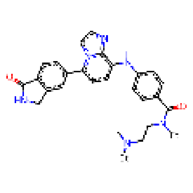 CCN(C)CCN(CC)C(=O)c1ccc(Nc2ccc(-c3ccc4c(c3)CNC4=O)n3ccnc23)cc1